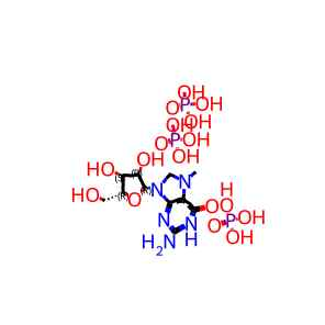 CN1CN([C@@H]2O[C@H](CO)[C@@H](O)[C@H]2O)c2nc(N)[nH]c(=O)c21.O=P(O)(O)O.O=P(O)(O)O.O=P(O)(O)O